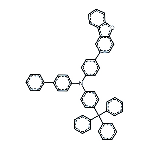 c1ccc(-c2ccc(N(c3ccc(-c4ccc5oc6ccccc6c5c4)cc3)c3ccc(C(c4ccccc4)(c4ccccc4)c4ccccc4)cc3)cc2)cc1